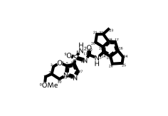 COCC1COc2c(S(N)(=O)=NC(=O)Nc3c4c(cc5c3CCC5C)CCC4)cnn2C1